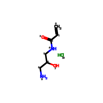 C=CC(=O)NCC(O)CN.Cl